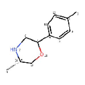 Cc1ccc(C2CN[C@@H](C)CO2)cc1